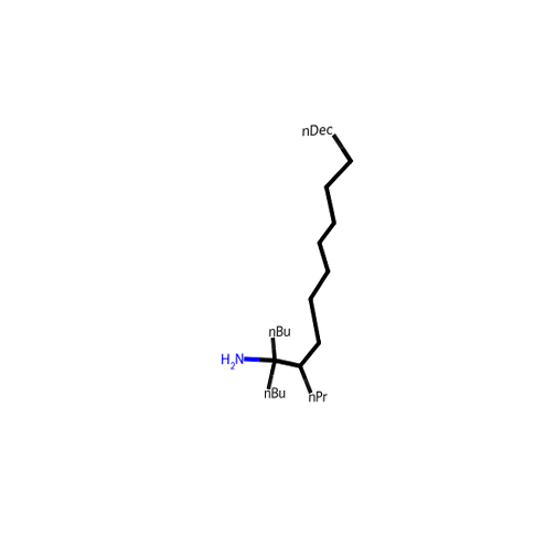 CCCCCCCCCCCCCCCCCC(CCC)C(N)(CCCC)CCCC